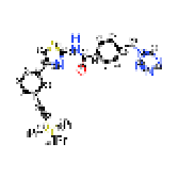 CC(C)S(C#Cc1cccc(-c2csc(NC(=O)c3ccc(Cn4cnnn4)cc3)n2)c1)(C(C)C)C(C)C